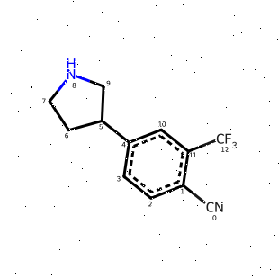 N#Cc1ccc(C2CCNC2)cc1C(F)(F)F